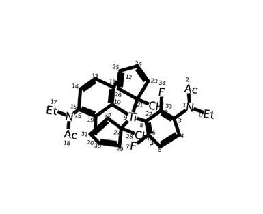 CCN(C(C)=O)c1ccc(F)[c]([Ti]([c]2c(F)ccc(N(CC)C(C)=O)c2F)([C]2(C)C=CC=C2)[C]2(C)C=CC=C2)c1F